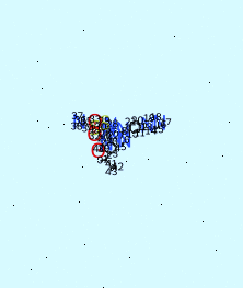 C=C(c1cc2cnc(Nc3ccc(N4CCN(C)CC4)cc3)nc2n(Cc2cnsc2S(=O)(=O)CCN(C)C)c1=O)C1CC1